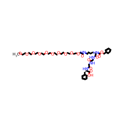 COCCOCCOCCOCCOCCOCCOCCOCCOCCOCC(=O)NCCCC[C@H](NC(=O)OCc1ccccc1)C(=O)NCC(=O)NCC(=O)N[C@@H](Cc1ccccc1)C(=O)O